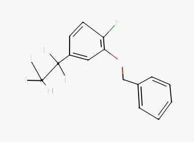 [2H]C([2H])([2H])C([2H])([2H])c1ccc(F)c(OCc2ccccc2)c1